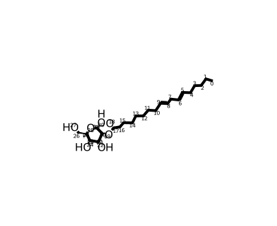 CCCCCC=CCC=CCCCCCCCC(=O)O[C@@H]1[C@@H](O)[C@H](O)[C@@H](CO)O[C@@H]1O